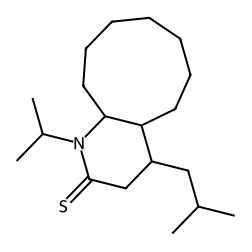 CC(C)CC1CC(=S)N(C(C)C)C2CCCCCCCC12